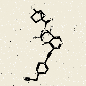 N#CCc1ccc(C#Cc2cncc3c2O[C@H]2C[C@@H]3N(C(=O)C34CCC(F)(CC3)C4)C2)cc1